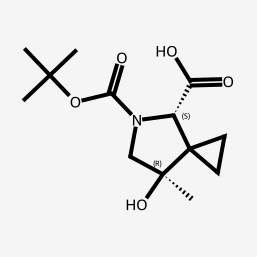 CC(C)(C)OC(=O)N1C[C@](C)(O)C2(CC2)[C@H]1C(=O)O